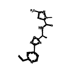 C=Cc1cc(-c2noc([C@H](C)NC(=O)c3cc(C(F)(F)F)nn3C)n2)ccn1